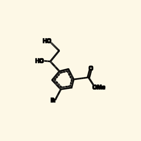 COC(=O)c1cc(Br)cc(C(O)CO)c1